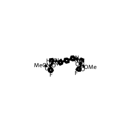 COC(=O)N[C@H](C(=O)N1CCC[C@H]1c1nc2ccc(-c3ccc(-c4ccc5nc([C@@H]6CCCN6C(=O)[C@@H](NC(=O)OC)c6ccc(F)cc6)[nH]c5c4)cc3)cc2[nH]1)c1ccc(F)cc1